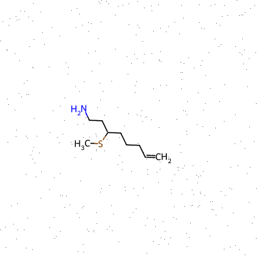 C=CCCCC(CCN)SC